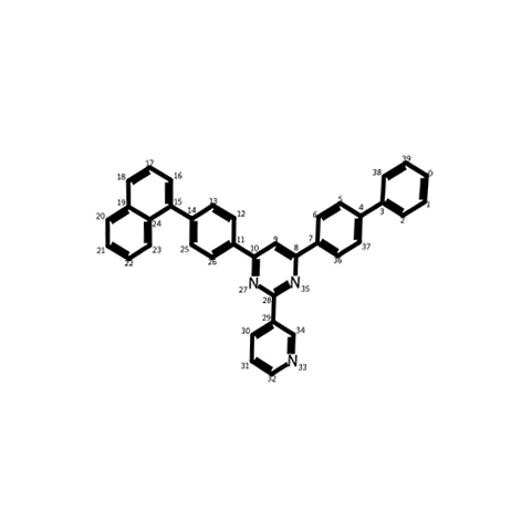 c1ccc(-c2ccc(-c3cc(-c4ccc(-c5cccc6ccccc56)cc4)nc(-c4cccnc4)n3)cc2)cc1